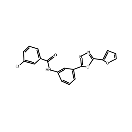 CCc1cccc(C(=O)Nc2cccc(-c3nnc(-c4ccco4)o3)c2)c1